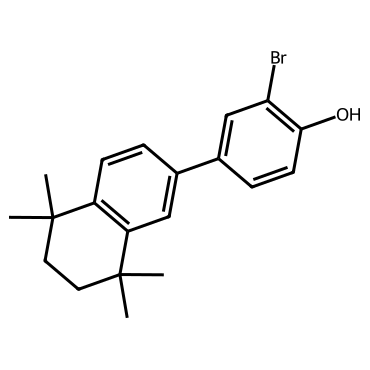 CC1(C)CCC(C)(C)c2cc(-c3ccc(O)c(Br)c3)ccc21